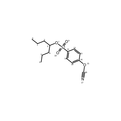 CCCC(CCC)OS(=O)(=O)c1ccc(OC#N)cc1